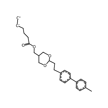 [CH2+][CH-]CCCC(=O)OCC1COC(CCc2ccc(-c3ccc(C)cc3)cc2)OC1